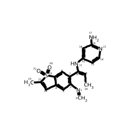 C=Nc1cc2c(cc1/C(=C\C)Nc1ccnc(N)c1)S(=O)(=O)C(C)=C2